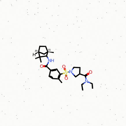 CCN(CC)C(=O)C1CCN(S(=O)(=O)c2cc(C(=O)NC3C(C)(C)[C@@H]4CC[C@@]3(C)C4)ccc2C)C1